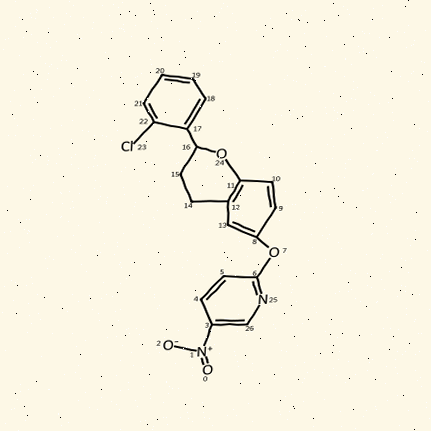 O=[N+]([O-])c1ccc(Oc2ccc3c(c2)CCC(c2ccccc2Cl)O3)nc1